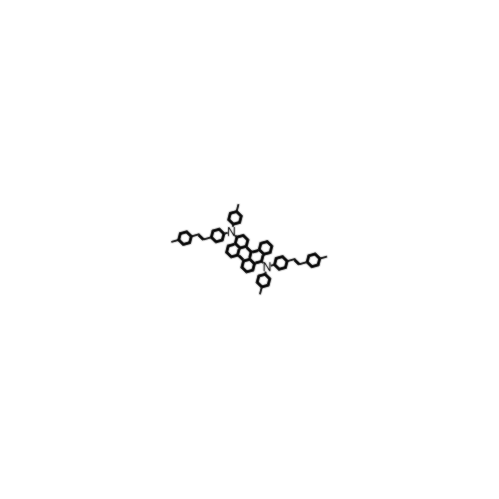 Cc1ccc(/C=C/c2ccc(N(c3ccc(C)cc3)c3ccc4c5c3cccc5c3cccc5c(N(c6ccc(C)cc6)c6ccc(/C=C/c7ccc(C)cc7)cc6)c6ccccc6c4c53)cc2)cc1